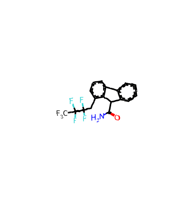 NC(=O)C1c2ccccc2-c2cccc(CC(F)(F)C(F)(F)C(F)(F)F)c21